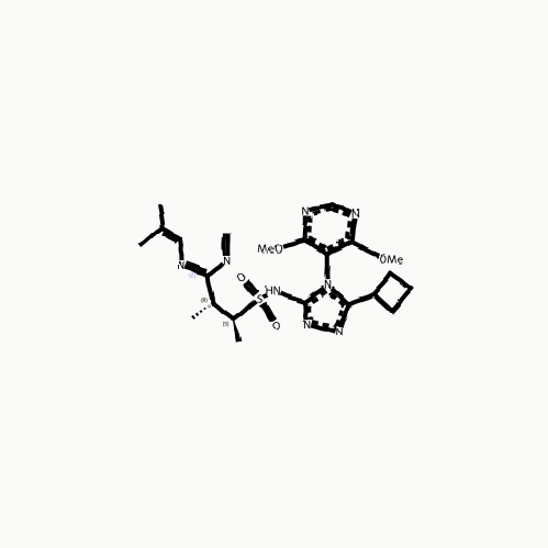 C=N/C(=N\C=C(C)C)[C@@H](C)[C@H](C)S(=O)(=O)Nc1nnc(C2CCC2)n1-c1c(OC)ncnc1OC